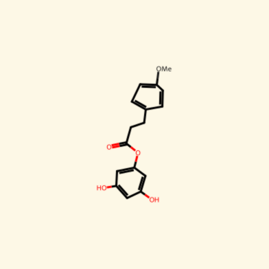 COc1ccc(CCC(=O)Oc2cc(O)cc(O)c2)cc1